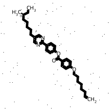 C=CCCCCCCOc1ccc(C(=O)Oc2ccc(-c3ncc(CCCCC[C@@H](C)CC)cn3)cc2)cc1